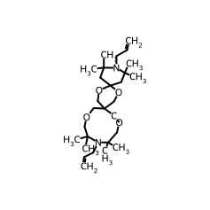 C=CCN1C(C)(C)COCC2(COCC1(C)C)COC1(CC(C)(C)N(CC=C)C(C)(C)C1)OC2